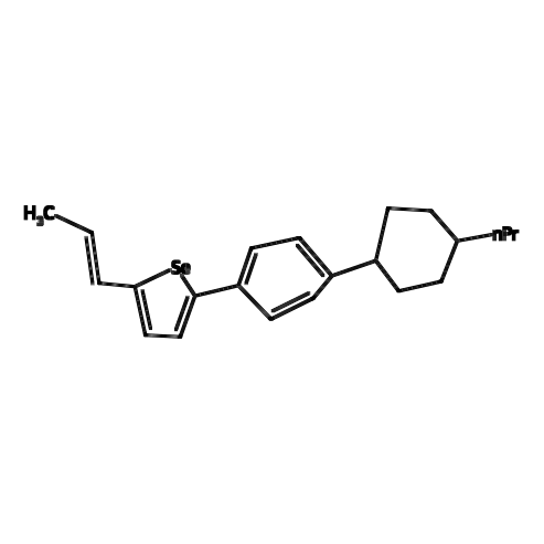 CC=Cc1ccc(-c2ccc(C3CCC(CCC)CC3)cc2)[se]1